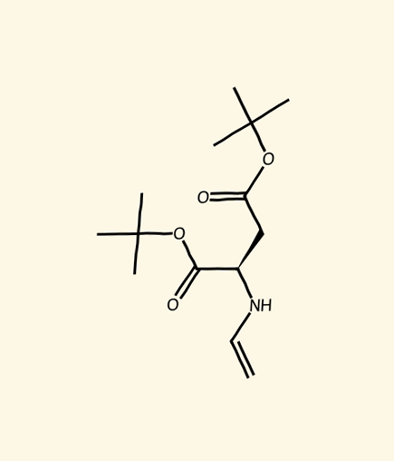 C=CN[C@H](CC(=O)OC(C)(C)C)C(=O)OC(C)(C)C